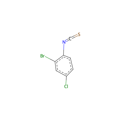 S=C=Nc1ccc(Cl)cc1Br